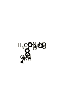 Cc1ccc(NC(=O)C2CCS(=O)(=O)CC2)cc1-c1ccc2cc(NC(=O)C3CC3)ncc2c1